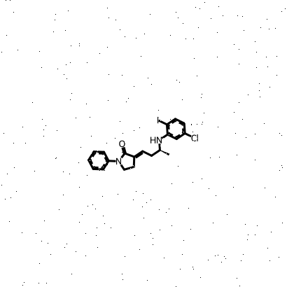 C[C@@H](C/C=C1\CCN(c2ccccc2)C1=O)Nc1cc(Cl)ccc1I